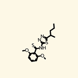 CCCC(C)c1nnc(NC(=S)c2c(OC)cccc2OC)s1